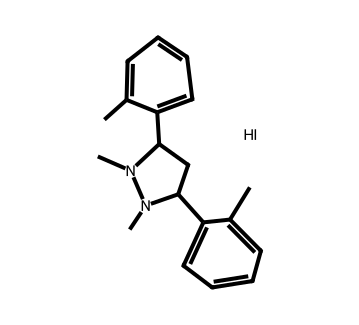 Cc1ccccc1C1CC(c2ccccc2C)N(C)N1C.I